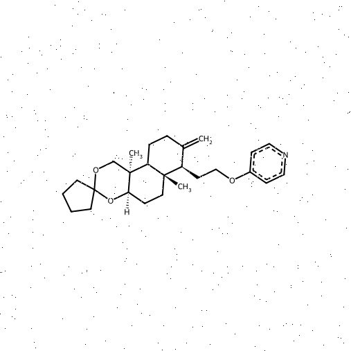 C=C1CCC2[C@]3(C)COC4(CCCC4)O[C@@H]3CC[C@@]2(C)[C@@H]1CCOc1ccncc1